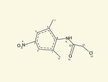 Cc1cc([N+](=O)[O-])cc(C)c1NC(=O)CCl